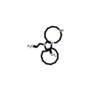 C=CCN(CC=C)/C1=[N+](\C2=C/CCCCCCCCC2)CCCNCCCCC1